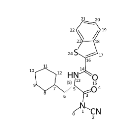 CN(C#N)C(=O)[C@H](CC1CCCCC1)NC(=O)c1cc2ccccc2s1